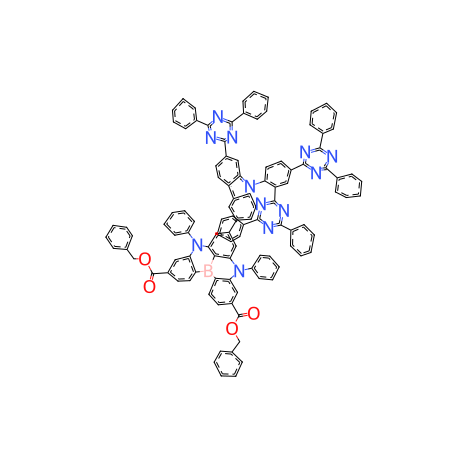 O=C(OCc1ccccc1)c1ccc2c(c1)N(c1ccccc1)c1cc(-c3ccc4c(c3)c3ccc(-c5nc(-c6ccccc6)nc(-c6ccccc6)n5)cc3n4-c3ccc(-c4nc(-c5ccccc5)nc(-c5ccccc5)n4)cc3-c3nc(-c4ccccc4)nc(-c4ccccc4)n3)cc3c1B2c1ccc(C(=O)OCc2ccccc2)cc1N3c1ccccc1